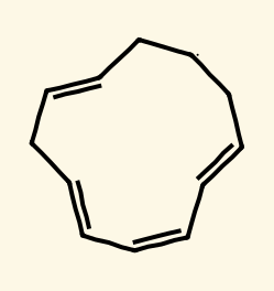 [CH]1C/C=C/C=C\C=C\C/C=C/C1